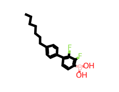 CCCCCCCc1ccc(-c2ccc(B(O)O)c(F)c2F)cc1